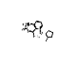 C[C@@H]1CCC[C@H]1Oc1cccc2c1C(N)=NS(=O)(=O)N2